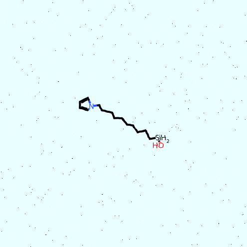 O[SiH2]CCCCCCCCCCn1cccc1